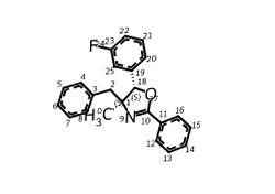 C[C@@]1(Cc2ccccc2)N=C(c2ccccc2)O[C@H]1c1cccc(F)c1